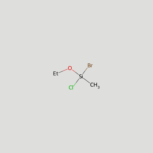 CCO[Si](C)(Cl)Br